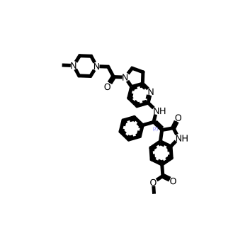 COC(=O)c1ccc2c(c1)NC(=O)/C2=C(\Nc1ccc2c(n1)CCN2C(=O)CN1CCN(C)CC1)c1ccccc1